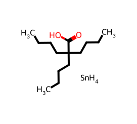 CCCCC(CCCC)(CCCC)C(=O)O.[SnH4]